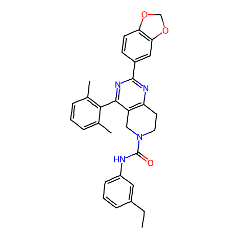 CCc1cccc(NC(=O)N2CCc3nc(-c4ccc5c(c4)OCO5)nc(-c4c(C)cccc4C)c3C2)c1